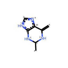 C=C1NC(C)Nc2[nH]cnc21